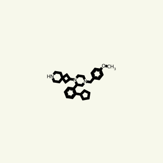 COc1ccc(CN2CCN(C3CC4(CCNCC4)C3)C(c3ccccc3C3CCCC3)C2)cc1